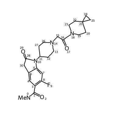 CNC(=O)c1cc2c(cc1F)N(C1CCN(CC(=O)N3CCC4(CC3)CC4)CC1)C(=O)C2